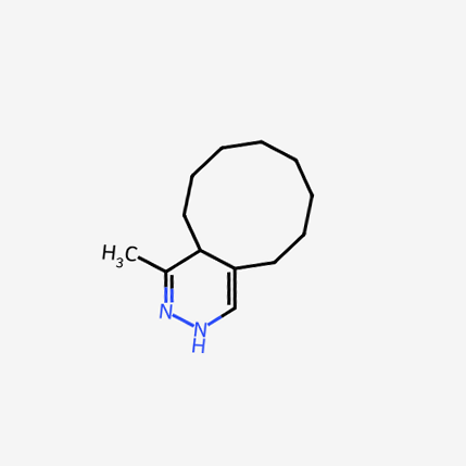 CC1=NNC=C2CCCCCCCCC21